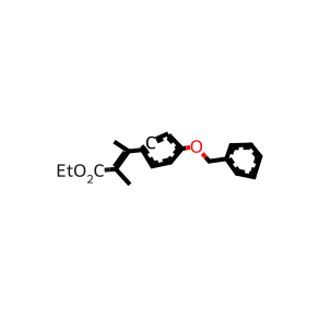 CCOC(=O)C(C)=C(C)c1ccc(OCc2ccccc2)cc1